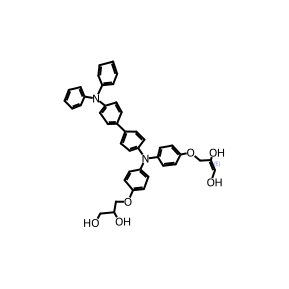 O/C=C(/O)COc1ccc(N(c2ccc(OCC(O)CO)cc2)c2ccc(-c3ccc(N(c4ccccc4)c4ccccc4)cc3)cc2)cc1